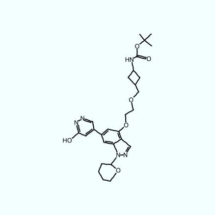 CC(C)(C)OC(=O)NC1CC(COCCOc2cc(-c3cnnc(O)c3)cc3c2cnn3C2CCCCO2)C1